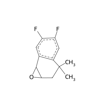 CC1(C)CC2OC2c2cc(F)c(F)cc21